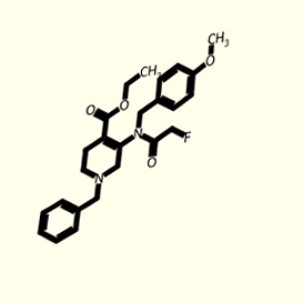 CCOC(=O)C1=C(N(Cc2ccc(OC)cc2)C(=O)CF)CN(Cc2ccccc2)CC1